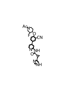 CC(=O)N1CCC(Oc2ccc(-c3ccnc(NC(=O)C4CC4c4c[nH]cn4)c3)cc2C#N)C(F)C1